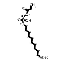 C=CC(=O)OOP(=O)(O)OCCCCCCCCCCCCCCCCCCCC